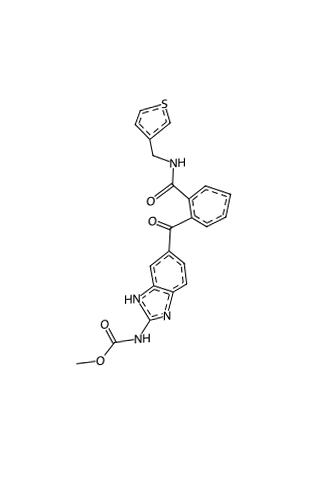 COC(=O)Nc1nc2ccc(C(=O)c3ccccc3C(=O)NCc3ccsc3)cc2[nH]1